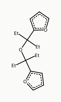 CCC(CC)(OC(CC)(CC)c1ccco1)c1ccco1